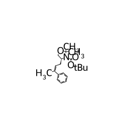 C/C(=C/C[C@H]1COC(C)(C)N1C(=O)OC(C)(C)C)c1ccccc1